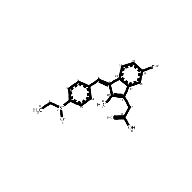 CC[S+]([O-])c1ccc(C=C2C(C)=C(CC(=O)O)c3cc(F)ccc32)cc1